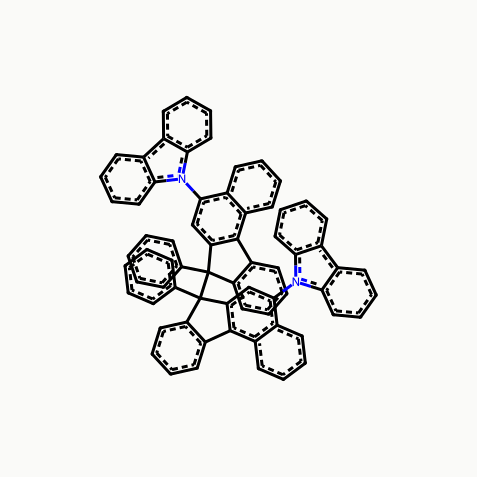 c1ccc(C2(C3(c4ccccc4)c4ccccc4-c4c3cc(-n3c5ccccc5c5ccccc53)c3ccccc43)c3ccccc3-c3c2cc(-n2c4ccccc4c4ccccc42)c2ccccc32)cc1